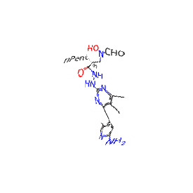 CCCCC[C@H](CN(O)C=O)C(=O)NNc1nc(C)c(C)c(-c2ccnc(N)c2)n1